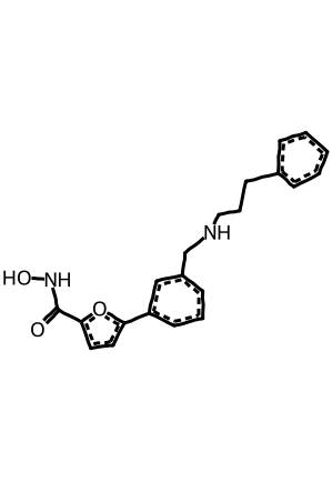 O=C(NO)c1ccc(-c2cccc(CNCCCc3ccccc3)c2)o1